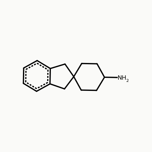 NC1CCC2(CC1)Cc1ccccc1C2